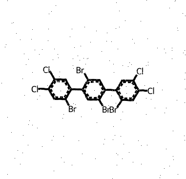 Clc1cc(Br)c(-c2cc(Br)c(-c3cc(Cl)c(Cl)cc3Br)cc2Br)cc1Cl